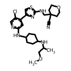 COCC(C)NC1CCC(Nc2cc(-c3csc(NCC4(C#N)CCOCC4)n3)c(Cl)cn2)CC1